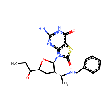 CCC(O)[C@@H]1C[C@@H](C(C)NCc2ccccc2)[C@H](n2c(=O)sc3c(=O)[nH]c(N)nc32)O1